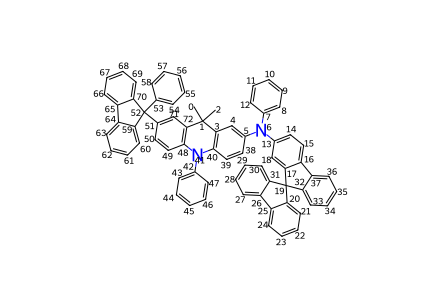 CC1(C)c2cc(N(c3ccccc3)c3ccc4c(c3)C3(c5ccccc5-c5ccccc53)c3ccccc3-4)ccc2N(c2ccccc2)c2ccc(C3(c4ccccc4)c4ccccc4-c4ccccc43)cc21